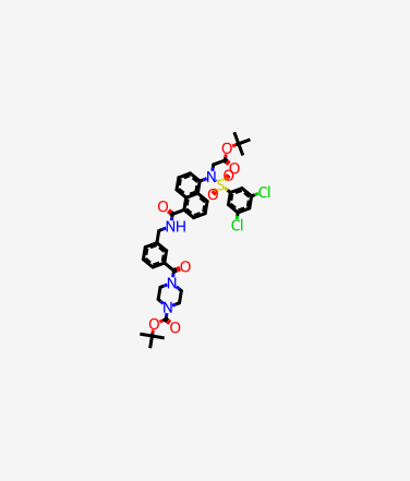 CC(C)(C)OC(=O)CN(c1cccc2c(C(=O)NCc3cccc(C(=O)N4CCN(C(=O)OC(C)(C)C)CC4)c3)cccc12)S(=O)(=O)c1cc(Cl)cc(Cl)c1